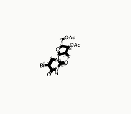 CC(=O)OC[C@H]1O[C@@H](n2cc(Br)c(=O)[nH]c2=O)C(F)C1OC(C)=O